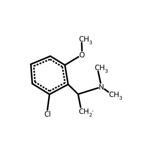 [CH2]C(c1c(Cl)cccc1OC)N(C)C